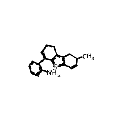 CC1C=Cc2sc3c(c2C1)CCC=C3c1ccccc1N